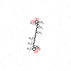 CC1=C(/C=C/C(C)=C/C=C/C(C)=C/C=C/C=C(C)/C=C/C=C(C)/C=C/C2=C(C)C[C@@H](O)[C@H](O)C2(C)C)C(C)(C)[C@@H](O)[C@H](O)C1